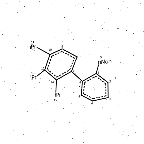 CCCCCCCCCc1[c]cccc1-c1ccc(C(C)C)c(C(C)C)c1C(C)C